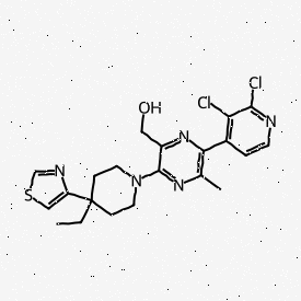 CCC1(c2cscn2)CCN(c2nc(C)c(-c3ccnc(Cl)c3Cl)nc2CO)CC1